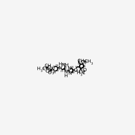 CCc1c(OC)cc(OC)c(Cl)c1COc1cnc(N/C(C=N)=C/NC2CCN(C(=O)OC(C)(C)C)CC2)nc1